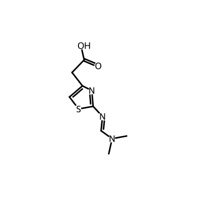 CN(C)/C=N/c1nc(CC(=O)O)cs1